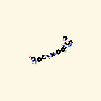 O=C1CC[C@@H](Nc2ccc(C3CCN(CC(=O)N4CC5(C4)CN(c4ccc(-c6cc(F)c7c(c6)C(=O)N(C(C(=O)Nc6ccccn6)c6ncn8c6CCC8)C7)cc4)C5)CC3)c(F)c2)C(=O)N1